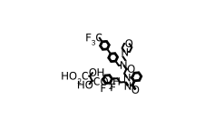 O=C(Cn1c(CCc2cccc(F)c2F)nc(=O)c2ccccc21)N(CCN1CCOCC1)Cc1ccc(-c2ccc(C(F)(F)F)cc2)cc1.O=C(O)C(O)C(O)C(=O)O